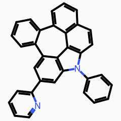 c1ccc(-n2c3cc(-c4ccccn4)cc4c3c3c5c(cccc5ccc32)-c2ccccc2-4)cc1